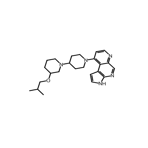 CC(C)COC1CCCN(C2CCN(c3ccnc4cnc5[nH]ccc5c34)CC2)C1